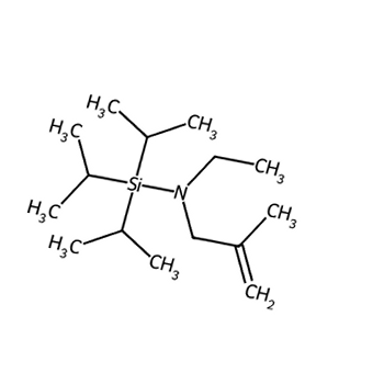 C=C(C)CN(CC)[Si](C(C)C)(C(C)C)C(C)C